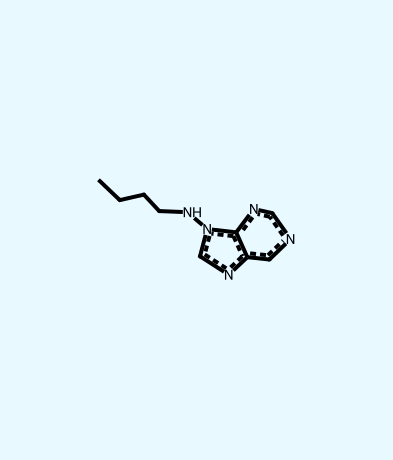 CCCCNn1cnc2cncnc21